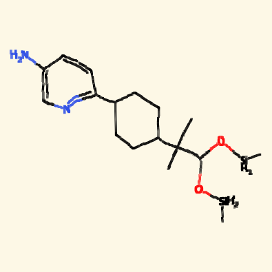 C[SiH2]OC(O[SiH2]C)C(C)(C)C1CCC(c2ccc(N)cn2)CC1